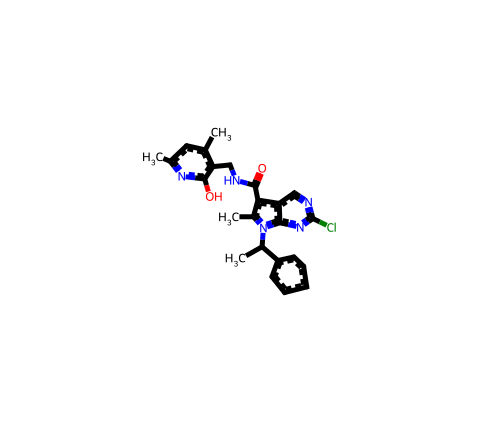 Cc1cc(C)c(CNC(=O)c2c(C)n(C(C)c3ccccc3)c3nc(Cl)ncc23)c(O)n1